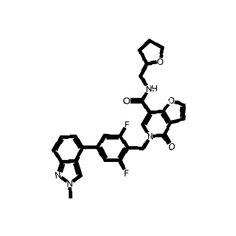 Cn1cc2c(-c3cc(F)c(Cn4cc(C(=O)NCC5CCCO5)c5occc5c4=O)c(F)c3)cccc2n1